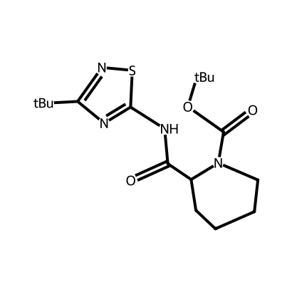 CC(C)(C)OC(=O)N1CCCCC1C(=O)Nc1nc(C(C)(C)C)ns1